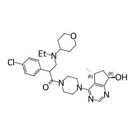 CCN(CC(C(=O)N1CCN(c2ncnc3c2[C@H](C)C[C@H]3O)CC1)c1ccc(Cl)cc1)C1CCOCC1